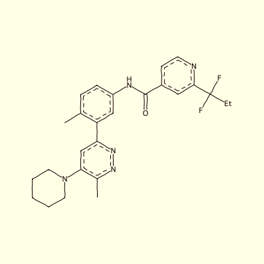 CCC(F)(F)c1cc(C(=O)Nc2ccc(C)c(-c3cc(N4CCCCC4)c(C)nn3)c2)ccn1